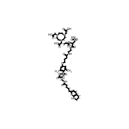 Cc1cc(OCCCC(=O)NCCNC(=O)C(CS(=O)(=O)O)NC(=O)CC[C@H](C(=O)O)N2CCN(CC(=O)O)CCN(CC(=O)O)CC2)cc(C)c1S(=O)(=O)N[C@H](CNC(=O)CCCCc1ccc2c(n1)NCCC2)C(=O)O